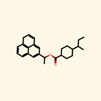 CCC(C)C1CCC(C(=O)OC(C)c2cc3c4c(cccc4c2)CC=C3)CC1